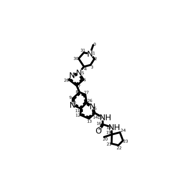 CN1CCC(n2cc(-c3cnc4ccc(NC(=O)NC5(C)CCCC5)nc4c3)cn2)CC1